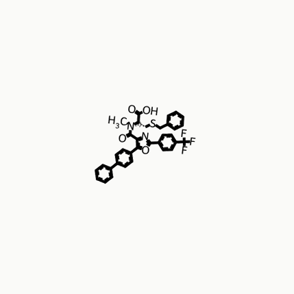 CN(C(=O)c1nc(-c2ccc(C(F)(F)F)cc2)oc1-c1ccc(-c2ccccc2)cc1)[C@@H](CSCc1ccccc1)C(=O)O